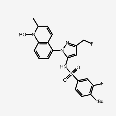 CC1C=Cc2c(cccc2-n2nc(CF)cc2NS(=O)(=O)c2ccc(C(C)(C)C)c(F)c2)N1O